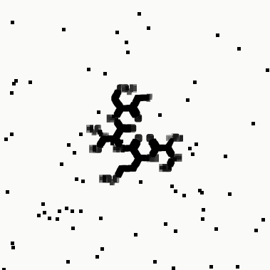 CC[C@H](C)C(NO)C(=O)NC(CCC(=O)O)C(=O)NC(C(=O)NC(CC(=O)O)C(=O)CF)[C@@H](C)O